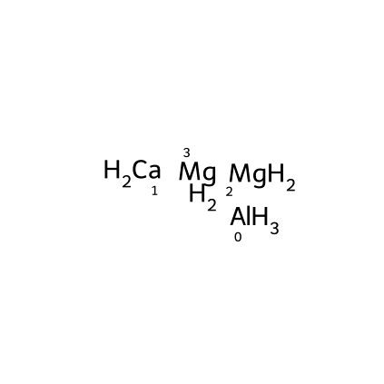 [AlH3].[CaH2].[MgH2].[MgH2]